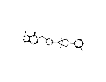 Cn1ncc2ncn(Cc3nc([C@H]4[C@@H]5CN(c6cc(Cl)ccn6)C[C@@H]54)no3)c(=O)c21